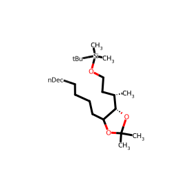 CCCCCCCCCCCCCCC1OC(C)(C)O[C@H]1[C@@H](C)CCO[Si](C)(C)C(C)(C)C